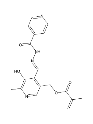 C=C(C)C(=O)OCc1cnc(C)c(O)c1/C=N/NC(=O)c1ccncc1